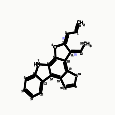 C=C/C=c1/oc2c3[nH]c4ccccc4c3c3ncsc3c2/c1=C/C